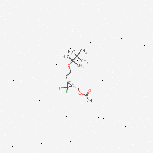 CC(=O)OC[C@H]1[C@@H](CCO[Si](C)(C)C(C)(C)C)C1(F)F